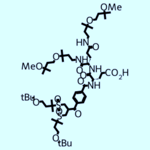 COC(C)(C)CCOC(C)(C)CCNC(=O)CC[C@H](NC(=O)[C@H](CCC(=O)O)NC(=O)c1ccc(C(=O)C(CSC(C)(C)CCOC(C)(C)C)CS(=O)(=O)C(C)(C)CCOC(C)(C)C)cc1)C(=O)NCCC(C)(C)OCCC(C)(C)OC